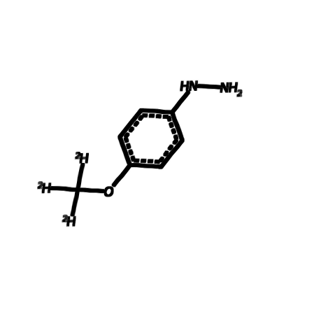 [2H]C([2H])([2H])Oc1ccc(NN)cc1